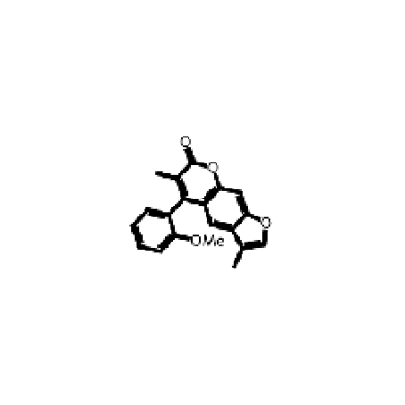 COc1ccccc1-c1c(C)c(=O)oc2cc3occ(C)c3cc12